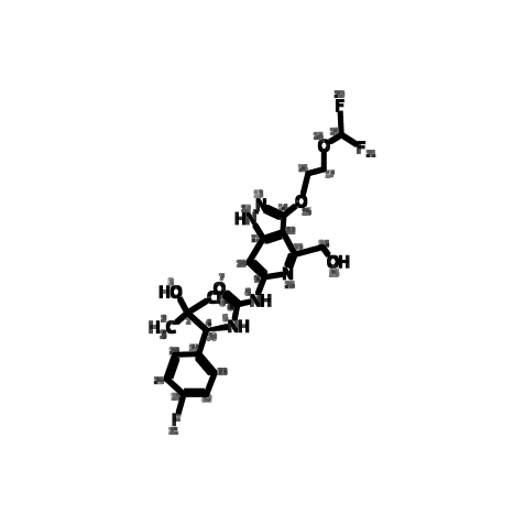 CC(C)(O)[C@@H](NC(=O)Nc1cc2[nH]nc(OCCOC(F)F)c2c(CO)n1)c1ccc(F)cc1